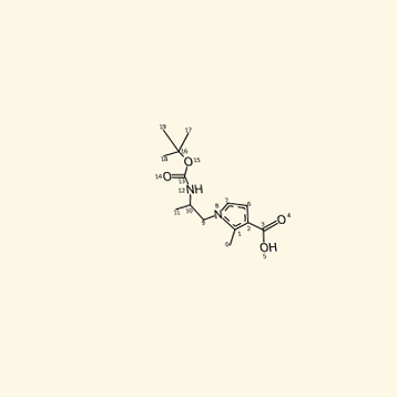 Cc1c(C(=O)O)ccn1CC(C)NC(=O)OC(C)(C)C